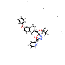 CC(C)(C)[Si](C)(C)OC(c1nnc(-c2ccccn2)o1)C1CCc2cc(Oc3ccccc3)ccc2C1